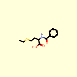 CCSCCC(NC(=O)c1ccccc1)C(=O)O